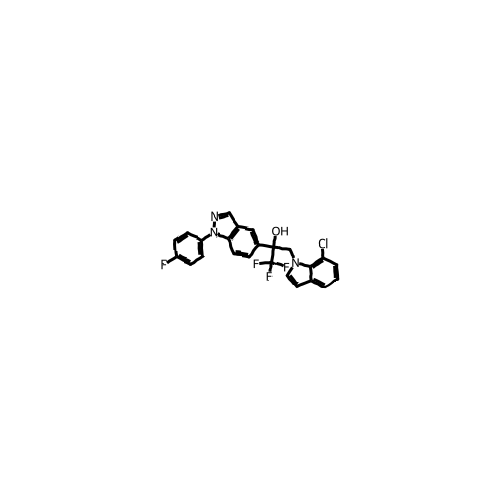 OC(Cn1ccc2cccc(Cl)c21)(c1ccc2c(cnn2-c2ccc(F)cc2)c1)C(F)(F)F